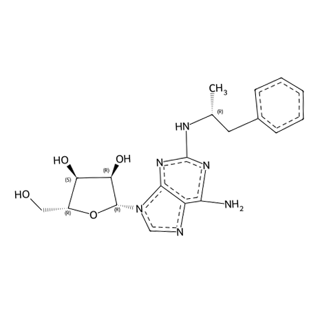 C[C@H](Cc1ccccc1)Nc1nc(N)c2ncn([C@@H]3O[C@H](CO)[C@@H](O)[C@H]3O)c2n1